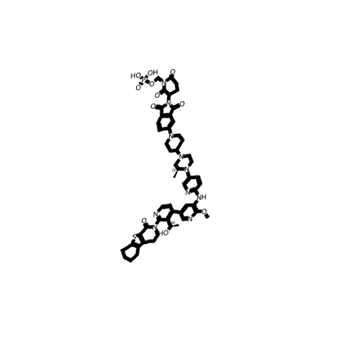 COc1ncc(-c2ccnc(N3CCc4c(sc5c4CCCC5)C3=O)c2[C@@H](C)O)cc1Nc1ccc(N2CCN(C3CCN(c4ccc5c(c4)C(=O)N(C4CCC(=O)N(COP(=O)(O)O)C4=O)C5=O)CC3)C[C@@H]2C)cn1